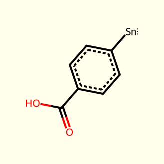 O=C(O)c1cc[c]([Sn])cc1